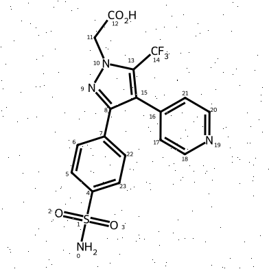 NS(=O)(=O)c1ccc(-c2nn(CC(=O)O)c(C(F)(F)F)c2-c2ccncc2)cc1